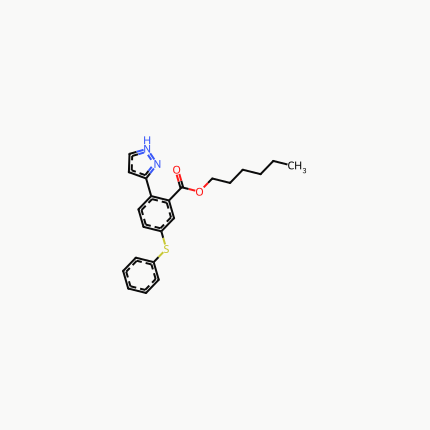 CCCCCCOC(=O)c1cc(Sc2ccccc2)ccc1-c1cc[nH]n1